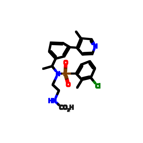 Cc1cnccc1-c1cccc(C(C)N(CCNC(=O)O)S(=O)(=O)c2cccc(Cl)c2C)c1